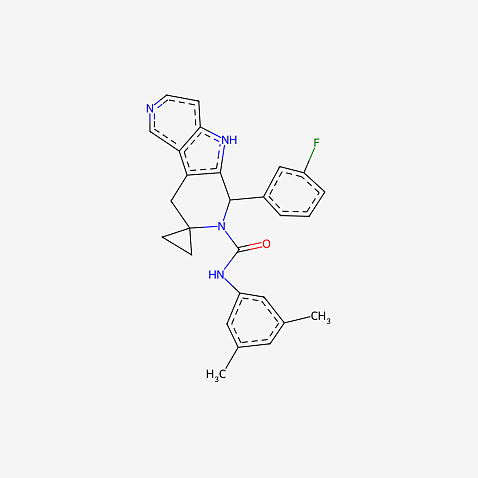 Cc1cc(C)cc(NC(=O)N2C(c3cccc(F)c3)c3[nH]c4ccncc4c3CC23CC3)c1